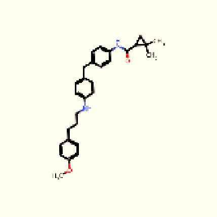 COc1ccc(CCCNc2ccc(Cc3ccc(NC(=O)C4CC4(C)C)cc3)cc2)cc1